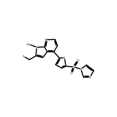 O=S(=O)(c1ccc(-c2ccnc3c2cc(CF)n3S)s1)n1ccnc1